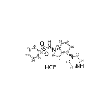 Cl.O=S(=O)(Nn1ccc2c(N3CCNCC3)cccc21)c1ccccc1